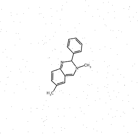 Cc1ccc2c(c1)=CN(C)C(c1ccccc1)N=2